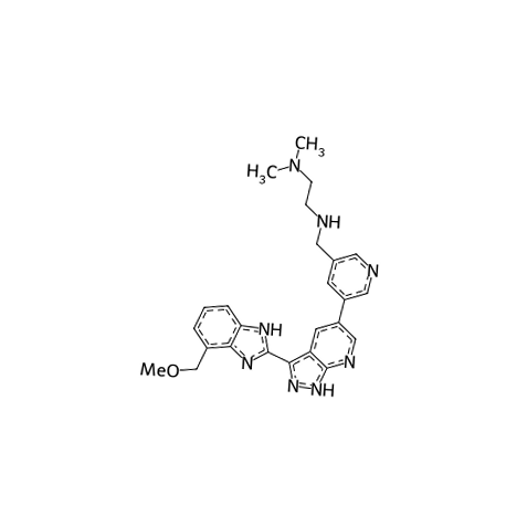 COCc1cccc2[nH]c(-c3n[nH]c4ncc(-c5cncc(CNCCN(C)C)c5)cc34)nc12